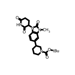 Cn1c(=O)n(C2CCC(=O)NC2=O)c2ccc(C3CCCN(C(=O)OC(C)(C)C)C3)cc21